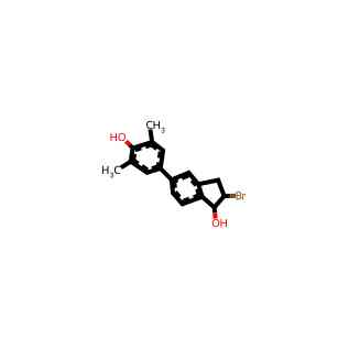 Cc1cc(-c2ccc3c(c2)CC(Br)C3O)cc(C)c1O